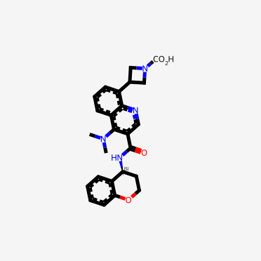 CN(C)c1c(C(=O)N[C@H]2CCOc3ccccc32)cnc2c(C3CN(C(=O)O)C3)cccc12